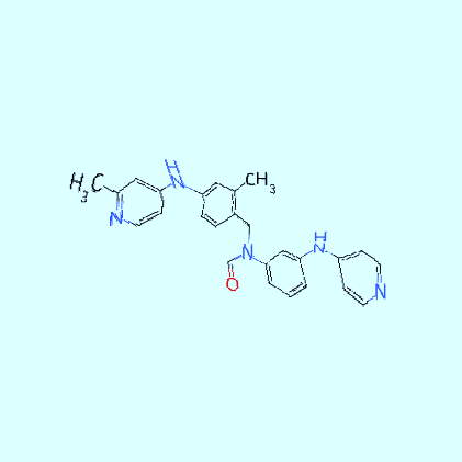 Cc1cc(Nc2ccc(CN(C=O)c3cccc(Nc4ccncc4)c3)c(C)c2)ccn1